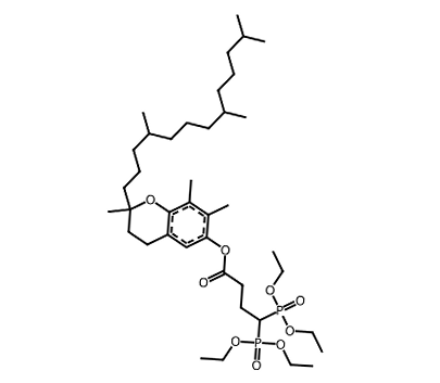 CCOP(=O)(OCC)C(CCC(=O)Oc1cc2c(c(C)c1C)OC(C)(CCCC(C)CCCC(C)CCCC(C)C)CC2)P(=O)(OCC)OCC